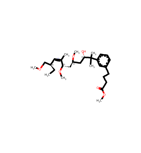 CC[C@H](/C=C(/C)[C@H](C[C@H](C[C@H](O)C(C)(C)c1cccc(CCCC(=O)OC)c1)OC)OC)COC